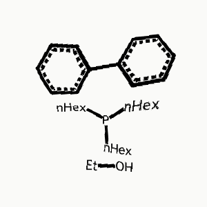 CCCCCCP(CCCCCC)CCCCCC.CCO.c1ccc(-c2ccccc2)cc1